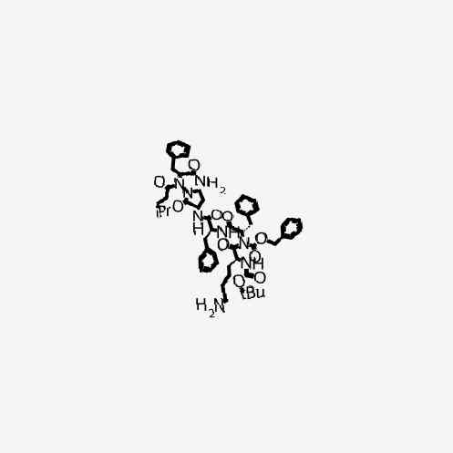 CC(C)CCC(=O)N(C(Cc1ccccc1)C(N)=O)N1CC[C@H](NC(=O)[C@H](Cc2ccccc2)NC(=O)[C@H](Cc2ccccc2)N(C(=O)OCc2ccccc2)C(=O)[C@H](CCCCN)NC(=O)OC(C)(C)C)C1=O